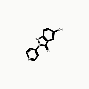 O=c1c2cc(O)ccc2[se]n1-c1ccncc1